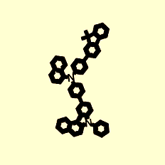 CC1(C)c2ccccc2-c2ccc(-c3ccc(N(c4ccc(-c5ccc6c(c5)c5c7ccccc7ccc5n6-c5ccccc5)cc4)c4cccc5ccccc45)cc3)cc21